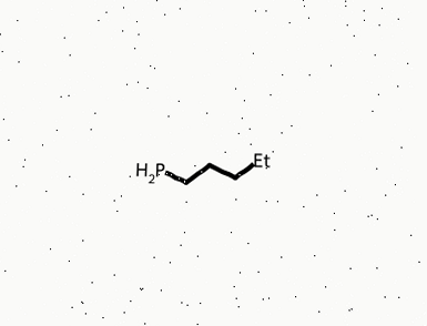 CCCCCP